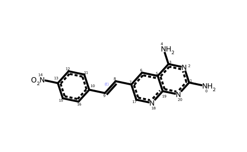 Nc1nc(N)c2cc(/C=C/c3ccc([N+](=O)[O-])cc3)cnc2n1